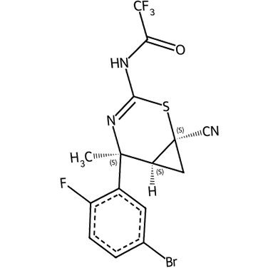 C[C@]1(c2cc(Br)ccc2F)N=C(NC(=O)C(F)(F)F)S[C@@]2(C#N)C[C@H]21